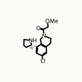 COCC(=O)N1CCc2cc(Cl)cc([C@@H]3CCCN3)c2C1